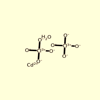 O.[Cd+2].[O-][Cl+3]([O-])([O-])[O-].[O-][Cl+3]([O-])([O-])[O-]